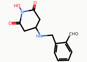 O=Cc1ccccc1CNC1CC(=O)N(O)C(=O)C1